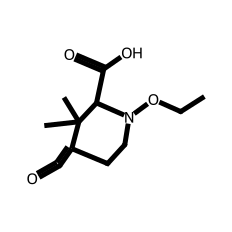 CCON1CCC(=C=O)C(C)(C)C1C(=O)O